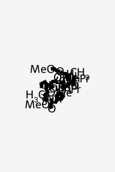 CC[C@H](C)[C@@H]([C@@H](CC(=O)N1CCC[C@H]1[C@H](OC)[C@@H](C)C(=S)N[C@@H](Cc1ccccc1)C(=O)OC)OC)N(C)C(=O)[C@@H](NC(=O)[C@H](C(C)C)N(C)C(=O)CCOCCOC)C(C)C